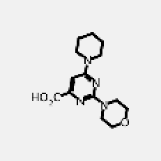 O=C(O)c1cc(N2CCCCC2)nc(N2CCOCC2)n1